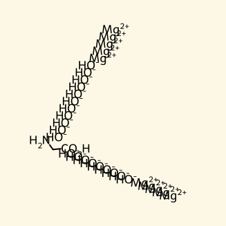 NCC(=O)O.[Mg+2].[Mg+2].[Mg+2].[Mg+2].[Mg+2].[Mg+2].[Mg+2].[Mg+2].[Mg+2].[Mg+2].[OH-].[OH-].[OH-].[OH-].[OH-].[OH-].[OH-].[OH-].[OH-].[OH-].[OH-].[OH-].[OH-].[OH-].[OH-].[OH-].[OH-].[OH-].[OH-].[OH-]